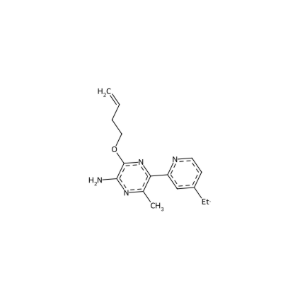 C=CCCOc1nc(-c2cc([CH]C)ccn2)c(C)nc1N